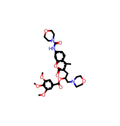 COc1cc(C(=O)OC(Cc2c(C)c3ccc(NC(=O)N4CCOCC4)cc3oc2=O)CN2CCOCC2)cc(OC)c1OC